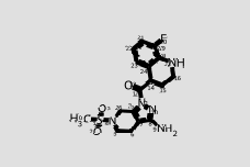 CS(=O)(=O)N1CCc2c(N)nn(C(=O)C3CCNc4c(F)cccc43)c2C1